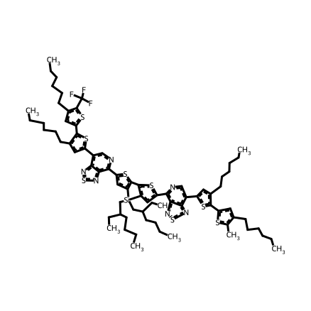 CCCCCCc1cc(-c2sc(-c3cnc(-c4cc5c(s4)-c4sc(-c6ncc(-c7cc(CCCCCC)c(-c8cc(CCCCCC)c(C(F)(F)F)s8)s7)c7nsnc67)cc4[Si]5(CC(CC)CCCC)CC(CC)CCCC)c4nsnc34)cc2CCCCCC)sc1C